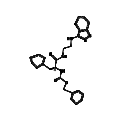 O=C(N[C@@H](Cc1ccccc1)C(=O)NCCNc1nsc2ccccc12)OCc1ccccc1